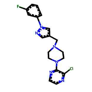 Fc1cccc(-n2cc(CN3CCN(c4nccnc4Cl)CC3)cn2)c1